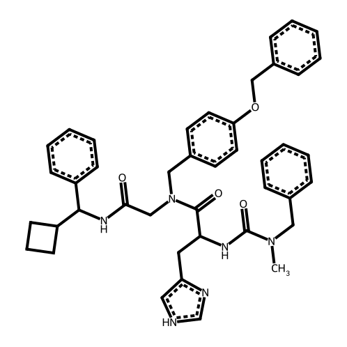 CN(Cc1ccccc1)C(=O)NC(Cc1c[nH]cn1)C(=O)N(CC(=O)NC(c1ccccc1)C1CCC1)Cc1ccc(OCc2ccccc2)cc1